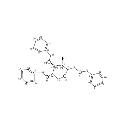 F[C@@H]1C(COCc2ccccc2)OCC(OCc2ccccc2)[C@H]1OCc1ccccc1